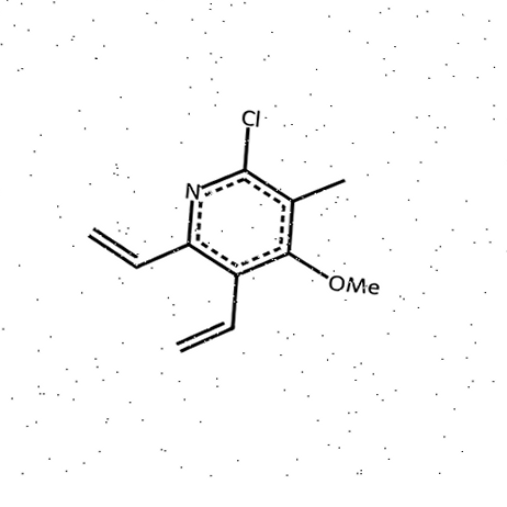 C=Cc1nc(Cl)c(C)c(OC)c1C=C